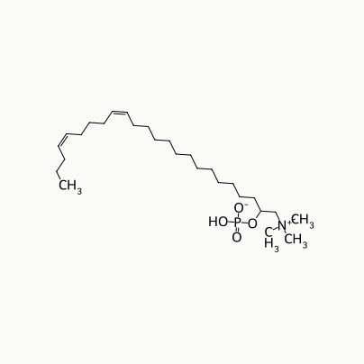 CCC/C=C\CCC/C=C\CCCCCCCCCCCCC(C[N+](C)(C)C)OP(=O)([O-])O